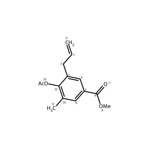 C=CCc1cc(C(=O)OC)cc(C)c1OC(C)=O